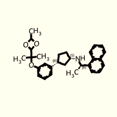 CC1OC(C(C)(C)Oc2cccc([C@@H]3CC[C@H](N[C@H](C)c4cccc5ccccc45)C3)c2)O1